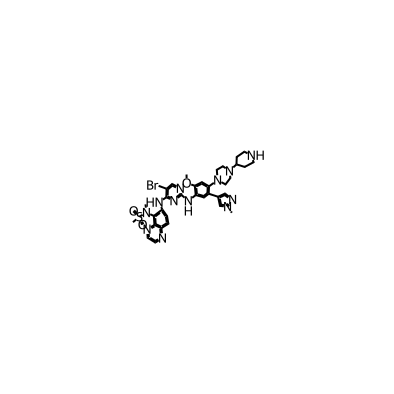 COc1cc(N2CCN(C3CCNCC3)CC2)c(-c2cnn(C)c2)cc1Nc1ncc(Br)c(Nc2ccc3nccnc3c2N(C)S(C)(=O)=O)n1